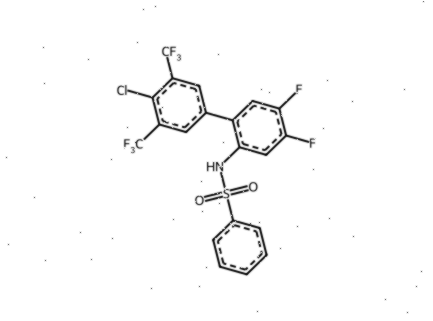 O=S(=O)(Nc1cc(F)c(F)cc1-c1cc(C(F)(F)F)c(Cl)c(C(F)(F)F)c1)c1ccccc1